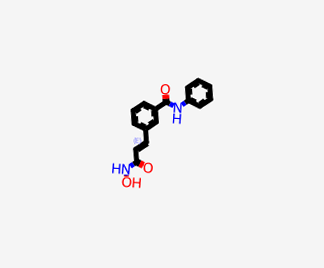 O=C(/C=C/c1cccc(C(=O)Nc2ccccc2)c1)NO